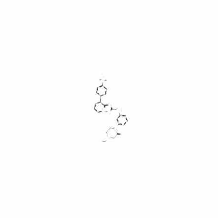 CCN1CCN(c2cccc(Nc3nc4c(-c5ccc(S(C)(=O)=O)cc5)cccn4n3)c2)C(=O)C1